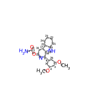 COc1cc(OC)cc(-c2nc(OC(N)=O)cc3c2[nH]c2ccccc23)c1